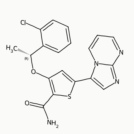 C[C@@H](Oc1cc(-c2cnc3ncccn23)sc1C(N)=O)c1ccccc1Cl